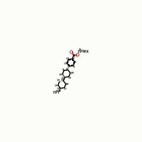 CCCCCCOC(=O)c1ccc([C@H]2CC[C@H]([C@H]3CC[C@H](CCC)CC3)CC2)cc1